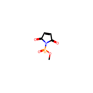 CO[PH](=O)N1C(=O)C=CC1=O